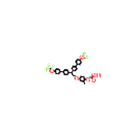 Cc1cc(OCC=C(c2ccc(-c3ccc(OC(F)(F)F)cc3)cc2)c2ccc(-c3ccc(OC(F)(F)F)cc3)cc2)ccc1OCC(=O)O